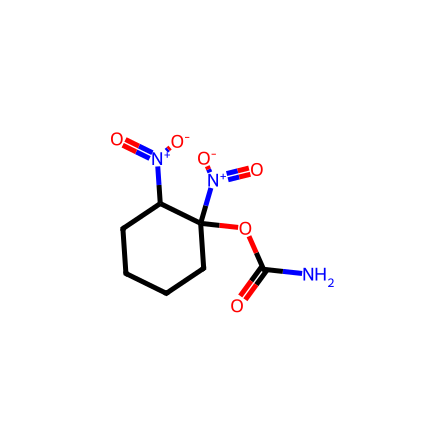 NC(=O)OC1([N+](=O)[O-])CCCCC1[N+](=O)[O-]